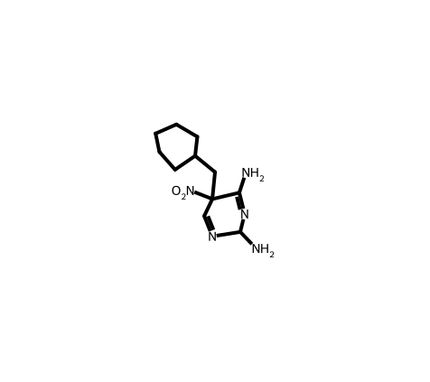 NC1=NC(N)N=CC1(CC1CCCCC1)[N+](=O)[O-]